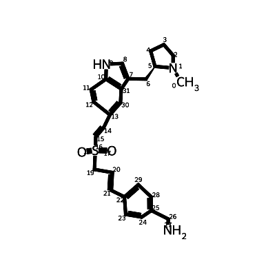 CN1CCC[C@@H]1Cc1c[nH]c2ccc(C=CS(=O)(=O)CC=Cc3ccc(CN)cc3)cc12